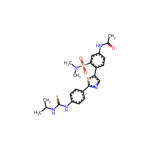 CC(=O)Nc1ccc(-c2cnc(-c3ccc(NC(=S)NC(C)C)cc3)s2)c(S(=O)(=O)N(C)C)c1